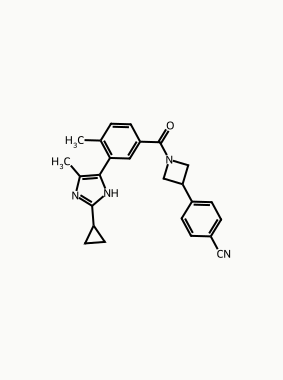 Cc1ccc(C(=O)N2CC(c3ccc(C#N)cc3)C2)cc1-c1[nH]c(C2CC2)nc1C